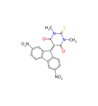 CN1C(=O)C(=C2c3cc([N+](=O)[O-])ccc3-c3cc([N+](=O)[O-])ccc32)C(=O)N(C)C1=S